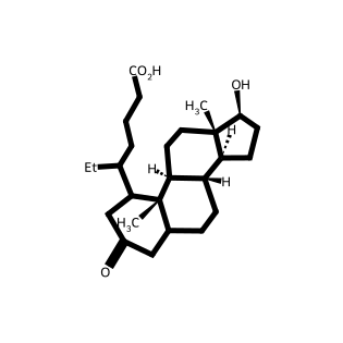 CCC(CCCC(=O)O)C1CC(=O)CC2CC[C@@H]3[C@H](CC[C@]4(C)[C@@H](O)CC[C@@H]34)[C@]21C